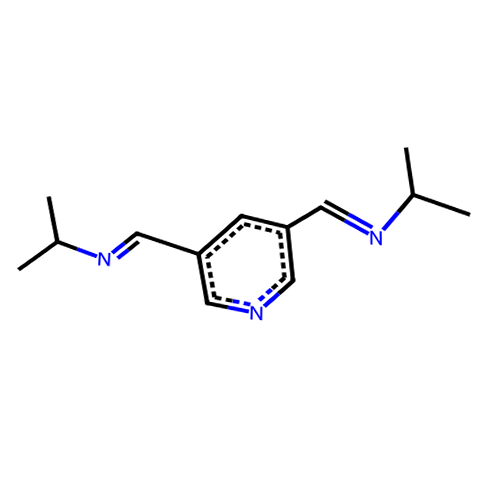 CC(C)/N=C/c1cncc(/C=N/C(C)C)c1